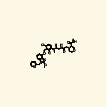 CNC(=O)C1COCCN1CC(=O)NCC(=O)N(C)c1ccc(Cl)c(COc2cccc3c2nc(OC)n3Cc2ccccn2)c1Cl